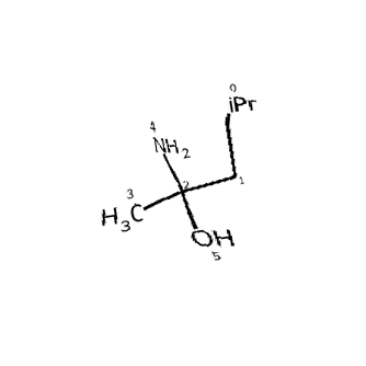 CC(C)CC(C)(N)O